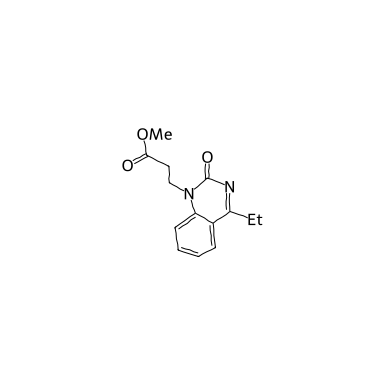 CCc1nc(=O)n(CCC(=O)OC)c2ccccc12